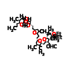 C=CC[C@@H]1O[C@@H]2[C@H]3O[C@@H]4C[C@@](CC[C@H]5CC(=C)C(CC[C@H]6C[C@@H](C)C(=C)[C@@H](CC7O[C@H](C[C@H](C)CO[Si](CC)(CC)CC)[C@H](C)[C@H]7CC=O)O6)O5)(O[C@H]24)O[C@H]3[C@H]1C